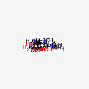 CN(C)c1cc(/C=N/OC(C)(C)C)c(O)c2c1C[C@H]1C[C@H]3[C@H](N(C)C)C(O)=C(C(N)=O)C(=O)[C@@]3(O)C(O)=C1C2=O